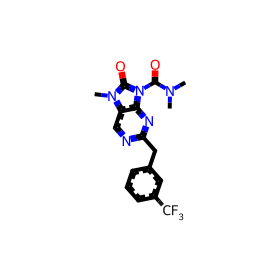 CN(C)C(=O)n1c(=O)n(C)c2cnc(Cc3cccc(C(F)(F)F)c3)nc21